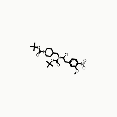 COc1cc(CC(Cl)N(CC2CCN(C(=O)OC(C)(C)C)CC2)C(=O)OC(C)(C)C)ccc1[N+](=O)[O-]